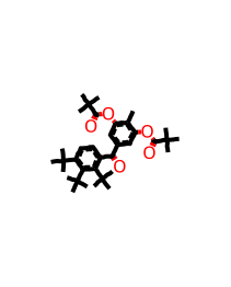 Cc1c(OC(=O)C(C)(C)C)cc(C(=O)c2ccc(C(C)(C)C)c(C(C)(C)C)c2C(C)(C)C)cc1OC(=O)C(C)(C)C